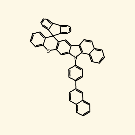 c1ccc2c(c1)Sc1cc3c(cc1C21c2ccccc2-c2ccccc21)c1ccc2ccccc2c1n3-c1ccc(-c2ccc3ccccc3c2)cc1